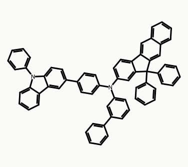 c1ccc(-c2cccc(N(c3ccc(-c4ccc5c(c4)c4ccccc4n5-c4ccccc4)cc3)c3ccc4c(c3)C(c3ccccc3)(c3ccccc3)c3cc5ccccc5cc3-4)c2)cc1